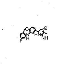 CC1C(=N)NC(c2ccc3c(c2)Nc2cc(F)ccc2CC3)C[S+]1[O-]